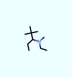 CCC(N(C)CC)C(C)(C)C